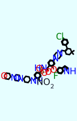 CC1(C)CCC(CN2CCN(c3ccc(C(=O)NS(=O)(=O)c4ccc(NC5CCC(N6CCN(C7CCOCC7)CC6)CC5)c([N+](=O)[O-])c4)c(Oc4cc5cc[nH]c5cc4F)c3)CC2)=C(c2ccc(Cl)cc2)C1